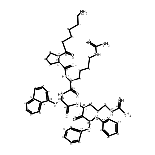 N=C(N)NCCCC[C@H](NC(=O)[C@H]1CCCN1C(=O)CCCCCN)C(=O)N[C@@H](Cc1cccc2ccccc12)C(=O)N[C@@H](CCCNC(=N)N)C(=O)P(Oc1ccccc1)Oc1ccccc1